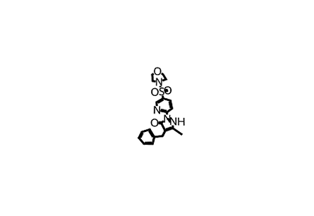 Cc1[nH]n(-c2ccc(S(=O)(=O)N3CCOCC3)cn2)c(=O)c1Cc1ccccc1